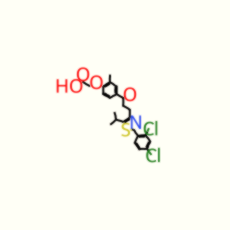 Cc1cc(C(=O)CCc2nc(-c3ccc(Cl)cc3Cl)sc2C(C)C)ccc1OCC(=O)O